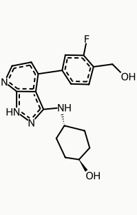 OCc1ccc(-c2ccnc3[nH]nc(N[C@H]4CC[C@H](O)CC4)c23)cc1F